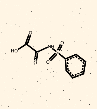 O=C(O)C(=O)NS(=O)(=O)c1ccccc1